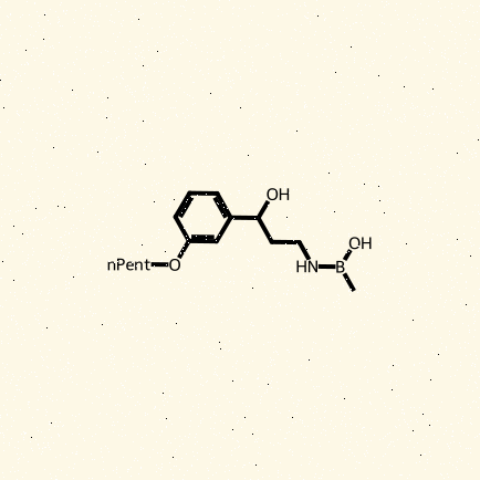 CCCCCOc1cccc(C(O)CCNB(C)O)c1